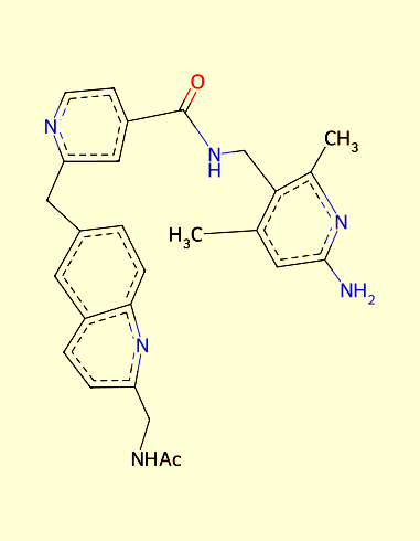 CC(=O)NCc1ccc2cc(Cc3cc(C(=O)NCc4c(C)cc(N)nc4C)ccn3)ccc2n1